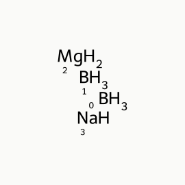 B.B.[MgH2].[NaH]